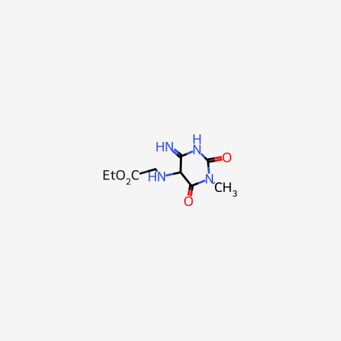 CCOC(=O)CNC1C(=N)NC(=O)N(C)C1=O